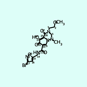 COCCN1CN(C)n2cc(C(=O)NCc3cc(Br)no3)c(=O)c(O)c2C1=O